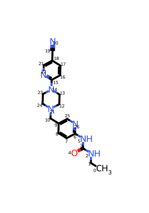 CCNC(=O)Nc1ccc(CN2CCN(c3ccc(C#N)cn3)CC2)cn1